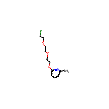 Bc1cccc(OCCOCCOCCF)n1